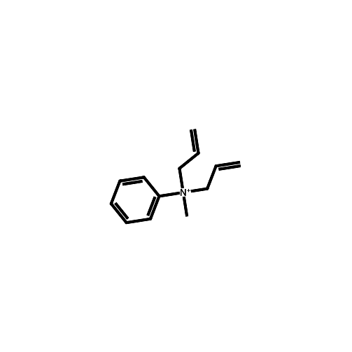 C=CC[N+](C)(CC=C)c1ccccc1